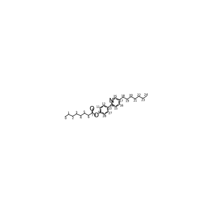 CCCCCCCC(=O)Oc1ccc(-c2ccc(CCCCCCC)cn2)cc1